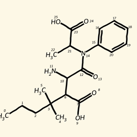 CCCC(C)(C)C(C(=O)O)C(N)C(=O)N(c1ccccc1)C(C)C(=O)O